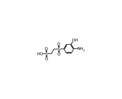 Nc1ccc(S(=O)(=O)CCS(=O)(=O)O)cc1O